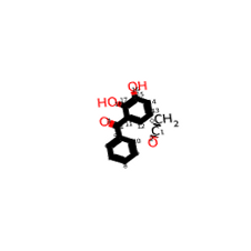 C=C=O.O=C(c1ccccc1)c1cccc(O)c1O